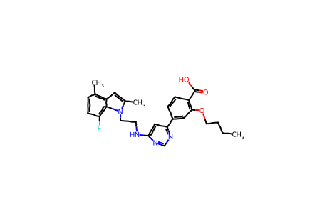 CCCCOc1cc(-c2cc(NCCn3c(C)cc4c(C)ccc(F)c43)ncn2)ccc1C(=O)O